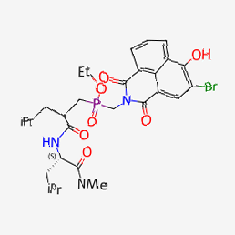 CCOP(=O)(CC(CC(C)C)C(=O)N[C@@H](CC(C)C)C(=O)NC)CN1C(=O)c2cccc3c(O)c(Br)cc(c23)C1=O